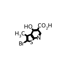 Cc1c(Br)sc2ncc(C(=O)O)c(O)c12